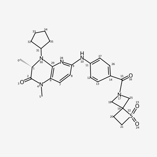 C[C@H]1C(=O)N(C)c2ccc(Nc3ccc(C(=O)N4CC5(CCS5(=O)=O)C4)cc3)nc2N1C1CCCC1